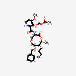 CCCC[C@H]1[C@H](C)OC(=O)[C@@H](NC(=O)c2nccc(OC)c2OCOC(C)=O)COC[C@@H]1OCc1ccccc1